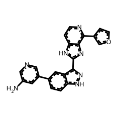 Nc1cncc(-c2ccc3[nH]nc(-c4nc5c(-c6ccoc6)nccc5[nH]4)c3c2)c1